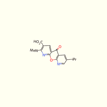 CNc1nc2oc3ncc(C(C)C)cc3c(=O)c2cc1C(=O)O